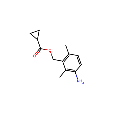 Cc1ccc(N)c(C)c1COC(=O)C1CC1